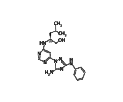 CC(C)C[C@@H](CO)Nc1cc(-n2nc(Nc3ccccc3)nc2N)ncn1